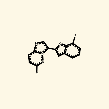 Fc1cccc2cc(-c3cnc4ccc(Cl)nn34)oc12